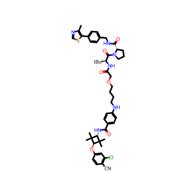 Cc1ncsc1-c1ccc(CNC(=O)[C@@H]2CCCN2C(=O)[C@@H](NC(=O)COCCCCNc2ccc(C(=O)N[C@H]3C(C)(C)[C@H](Oc4ccc(C#N)c(Cl)c4)C3(C)C)cc2)C(C)(C)C)cc1